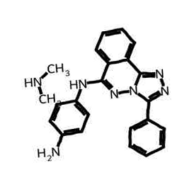 CNC.Nc1ccc(Nc2nn3c(-c4ccccc4)nnc3c3ccccc23)cc1